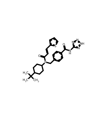 CC(C)(C)C1CCC(N(Cc2ccc(C(=O)Nc3nn[nH]n3)cc2)C(=O)C=Cc2cccs2)CC1